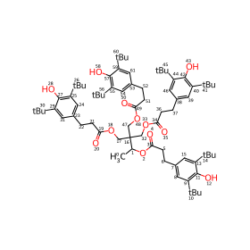 CC(OC(=O)CCc1cc(C(C)(C)C)c(O)c(C(C)(C)C)c1)C(COC(=O)CCc1cc(C(C)(C)C)c(O)c(C(C)(C)C)c1)(COC(=O)CCc1cc(C(C)(C)C)c(O)c(C(C)(C)C)c1)COC(=O)CCc1cc(C(C)(C)C)c(O)c(C(C)(C)C)c1